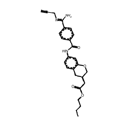 C#CCN=C(N)c1ccc(C(=O)Nc2ccc3c(c2)OCC(CC(=O)OCCCC)C3)cc1